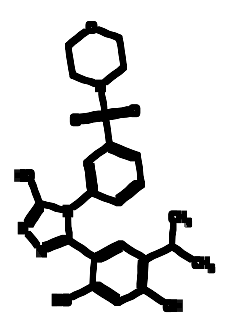 CC(C)c1cc(-c2nnc(O)n2-c2cccc(S(=O)(=O)N3CCOCC3)c2)c(O)cc1O